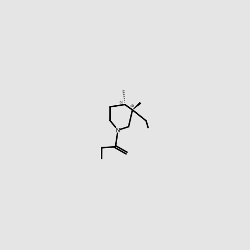 C=C(CC)N1CC[C@H](C)[C@](C)(CC)C1